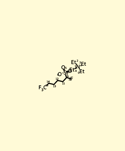 CC[N+](CC)(CC)CC.O=S(=O)([O-])C(F)CCCCC(F)(F)F